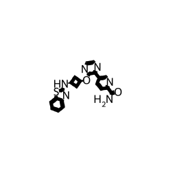 NC(=O)c1ccc(-c2nccnc2O[C@H]2C[C@H](Nc3nc4ccccc4s3)C2)cn1